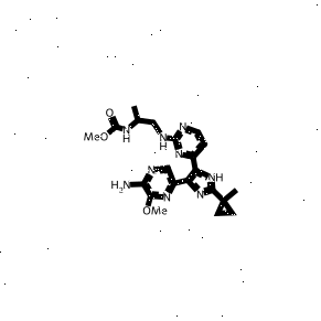 COC(=O)NC(C)CNc1nccc(-c2[nH]c(C3(C)CC3)nc2-c2cnc(N)c(OC)n2)n1